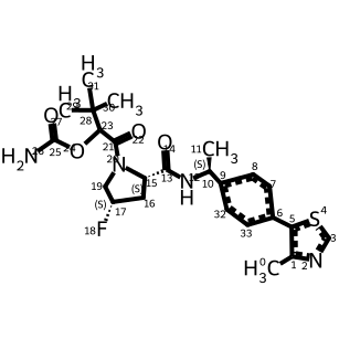 Cc1ncsc1-c1ccc([C@H](C)NC(=O)[C@@H]2C[C@H](F)CN2C(=O)C(OC(N)=O)C(C)(C)C)cc1